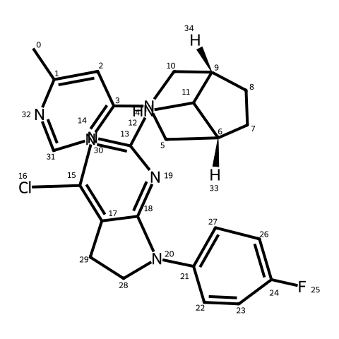 Cc1cc(N2C[C@H]3CC[C@@H](C2)C3Nc2nc(Cl)c3c(n2)N(c2ccc(F)cc2)CC3)ncn1